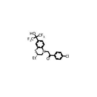 CC[C@H]1CN(CC(=O)c2ccc(Cl)cc2)c2ccc(C(O)(C(F)(F)F)C(F)(F)F)cc2S1